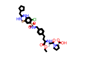 CCOC(=O)C(CCc1ccc(CNS(=O)(=O)c2cc3c(cc2Cl)NC(CC2CCCC2)NS3)cc1)N[C@@H](C)C(=O)N1CCC[C@H]1C(=O)O